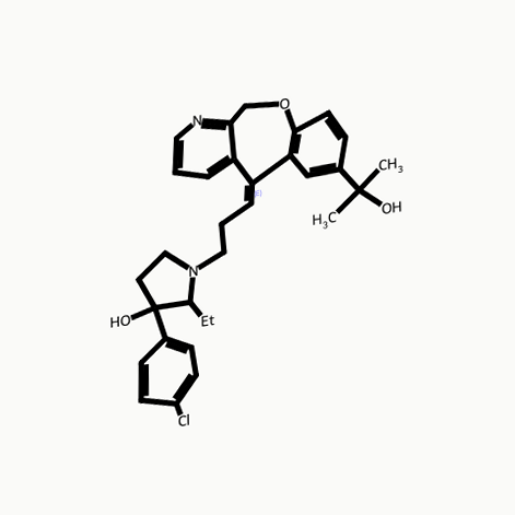 CCC1N(CC/C=C2/c3cc(C(C)(C)O)ccc3OCc3ncccc32)CCC1(O)c1ccc(Cl)cc1